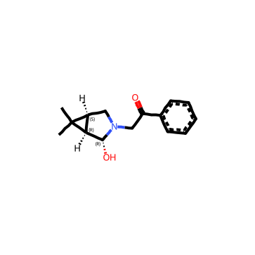 CC1(C)[C@@H]2[C@@H](O)N(CC(=O)c3ccccc3)C[C@@H]21